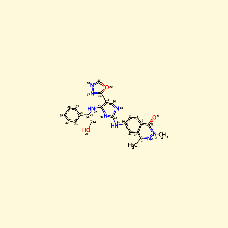 Cc1nn(C)c(=O)c2ccc(Nc3ncc(-c4nnco4)c(N[C@H](CO)c4ccccc4)n3)cc12